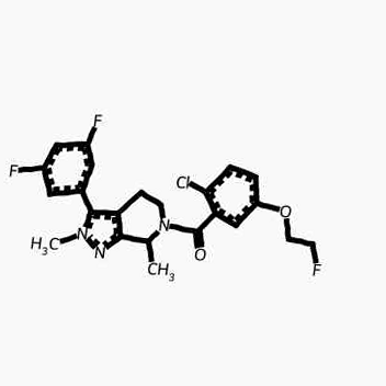 CC1c2nn(C)c(-c3cc(F)cc(F)c3)c2CCN1C(=O)c1cc(OCCF)ccc1Cl